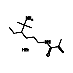 Br.C=C(C)C(=O)NCCCC(CC)C(C)(C)N